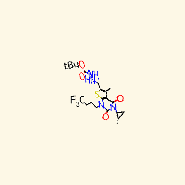 Cc1c(CNNC(=O)OC(C)(C)C)sc2c1c(=O)n([C@H]1C[C@@H]1C)c(=O)n2CCCC(F)(F)F